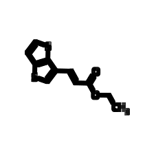 CCOC(=O)/C=C/c1csc2ccsc12